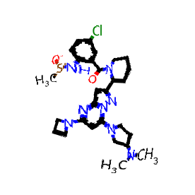 CN(C)C1CCN(c2cc(N3CCC3)nc3cc(C4CCCCN4C(=O)c4cc(Cl)ccc4N[S+](C)[O-])nn23)C1